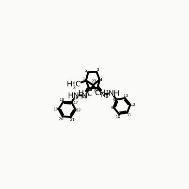 CC12CCC(C(=NNc3ccccc3)C1=NNc1ccccc1)C2(C)C